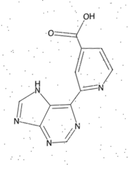 O=C(O)c1ccnc(-c2ncnc3nc[nH]c23)c1